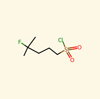 CC(C)(F)CCCS(=O)(=O)Cl